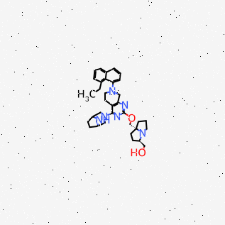 CCc1cccc2cccc(N3CCc4c(nc(OC[C@]56CCCN5[C@@H](CO)CC6)nc4N4CC5CCC(C4)N5)C3)c12